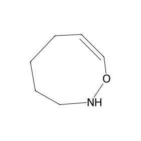 C1=CONCCCC1